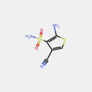 N#Cc1csc(N)c1S(N)(=O)=O